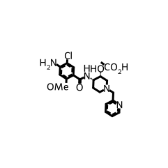 CC(=O)O.COc1cc(N)c(Cl)cc1C(=O)N[C@H]1CCN(Cc2ccccn2)C[C@H]1O